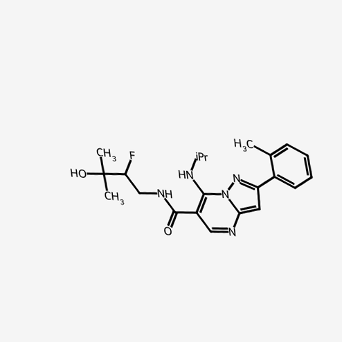 Cc1ccccc1-c1cc2ncc(C(=O)NCC(F)C(C)(C)O)c(NC(C)C)n2n1